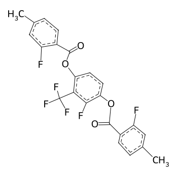 Cc1ccc(C(=O)Oc2ccc(OC(=O)c3ccc(C)cc3F)c(C(F)(F)F)c2F)c(F)c1